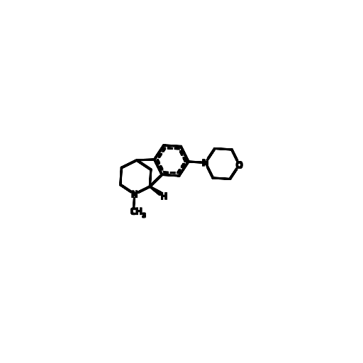 CN1CCC2C[C@@H]1c1cc(N3CCOCC3)ccc12